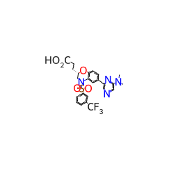 CN(C)c1cncc(-c2ccc3c(c2)N(S(=O)(=O)c2cccc(C(F)(F)F)c2)C[C@H](CCC(=O)O)O3)n1